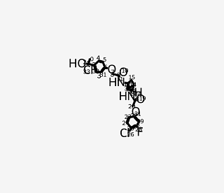 CC(O)(c1ccc(OCC(=O)NC23CC(C2)[C@@H](NC(=O)COc2ccc(Cl)c(F)c2)C3)cc1)C(F)(F)F